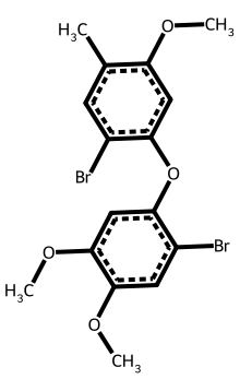 COc1cc(Oc2cc(OC)c(OC)cc2Br)c(Br)cc1C